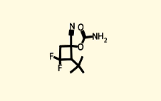 CC(C)(C)C1C(F)(F)CC1(C#N)OC(N)=O